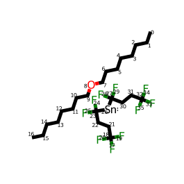 CCCCCCCCOCCCCCCCC.FC(F)(F)CC[C](F)(F)[Sn][C](F)(F)CCC(F)(F)F